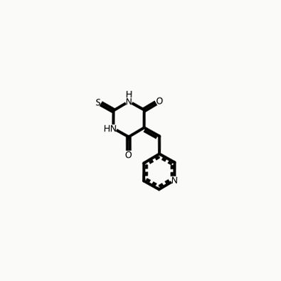 O=C1NC(=S)NC(=O)C1=Cc1cccnc1